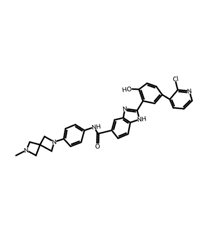 CN1CC2(C1)CN(c1ccc(NC(=O)c3ccc4[nH]c(-c5cc(-c6cccnc6Cl)ccc5O)nc4c3)cc1)C2